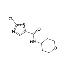 O=C(NC1CCOCC1)c1cnc(Cl)s1